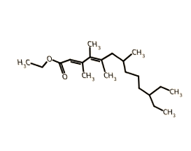 CCOC(=O)/C=C(C)/C(C)=C(\C)CC(C)CCCC(CC)CC